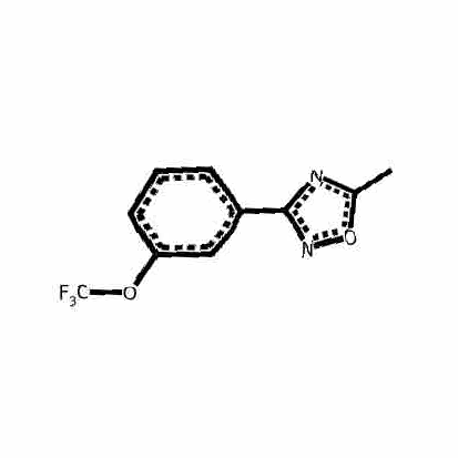 Cc1nc(-c2cccc(OC(F)(F)F)c2)no1